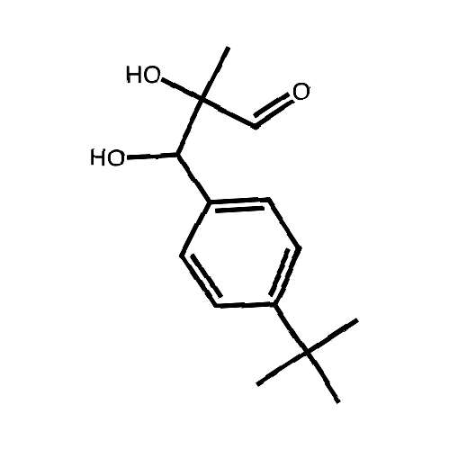 CC(C)(C)c1ccc(C(O)C(C)(O)C=O)cc1